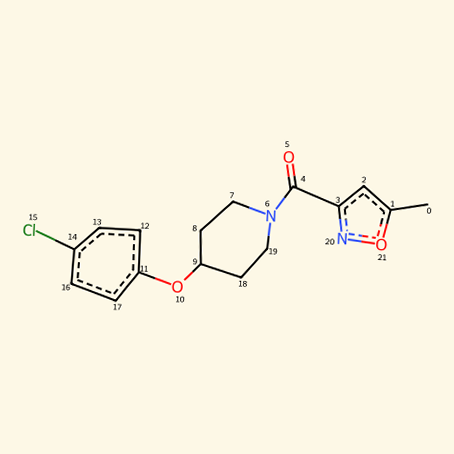 Cc1cc(C(=O)N2CCC(Oc3ccc(Cl)cc3)CC2)no1